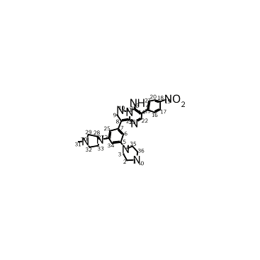 CN1CCN(c2cc(-c3cnn4c(N)c(-c5ccc([N+](=O)[O-])cc5)cnc34)cc(N3CCN(C)CC3)c2)CC1